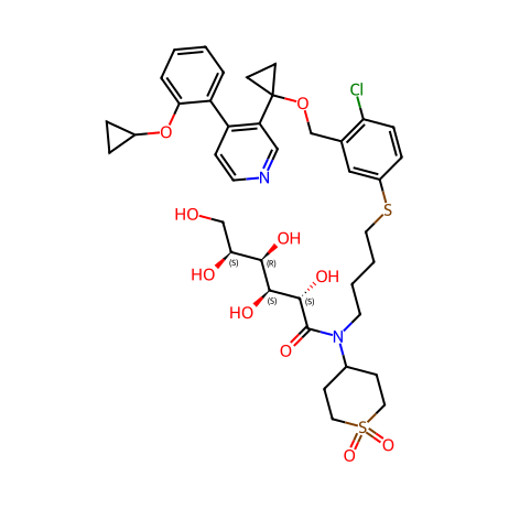 O=C([C@@H](O)[C@@H](O)[C@H](O)[C@@H](O)CO)N(CCCCSc1ccc(Cl)c(COC2(c3cnccc3-c3ccccc3OC3CC3)CC2)c1)C1CCS(=O)(=O)CC1